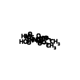 CCCc1ccc(CNC(=O)C2CN(c3nc4c(C(=O)O)n[nH]c(=O)c4s3)CCN2S(=O)(=O)c2ccc(CC)cc2)cc1